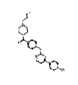 O=C(c1ccc(Nc2nccc(-c3ccc(Cl)cc3)n2)cc1)N1CCN(CCO)CC1